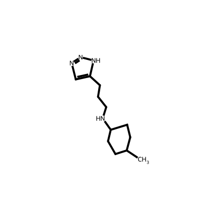 CC1CCC(NCCCc2cnn[nH]2)CC1